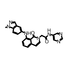 Cn1ncc2cc(Nc3cccc4ccn(CC(=O)Nc5cncnc5)c(=O)c34)ccc21